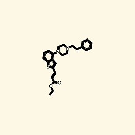 CCOC(=O)C=Cc1cc2c(N3CCN(CCc4ccccc4)CC3)cccc2s1